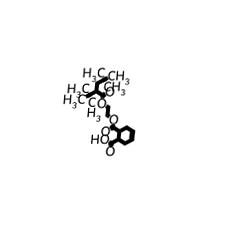 CC(C)(C)CC(C(=O)OCCOC(=O)C1CC=CCC1C(=O)O)C(C)(C)C